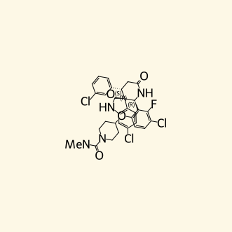 CNC(=O)N1CCC(Oc2ccc(Cl)c(F)c2[C@@H]2NC(=O)C[C@@H](c3cccc(Cl)c3)[C@]23C(=O)Nc2cc(Cl)ccc23)CC1